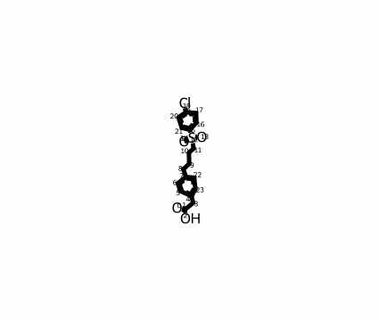 O=C(O)Cc1ccc(CCCCS(=O)(=O)c2ccc(Cl)cc2)cc1